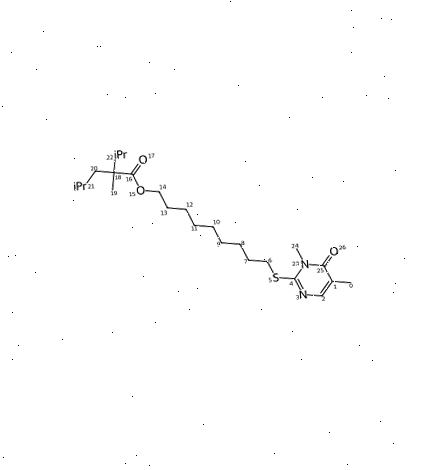 Cc1cnc(SCCCCCCCCCOC(=O)C(C)(CC(C)C)C(C)C)n(C)c1=O